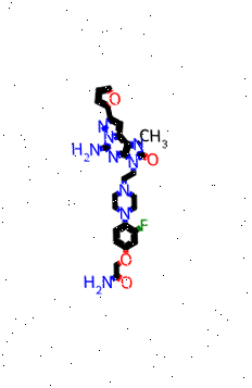 Cn1c(=O)n(CCN2CCN(c3ccc(OCC(N)=O)cc3F)CC2)c2nc(N)n3nc(-c4ccco4)cc3c21